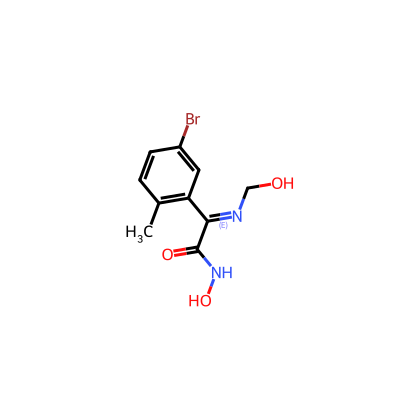 Cc1ccc(Br)cc1/C(=N\CO)C(=O)NO